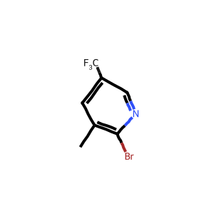 Cc1cc(C(F)(F)F)cnc1Br